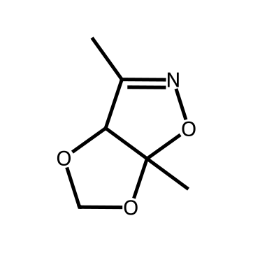 CC1=NOC2(C)OCOC12